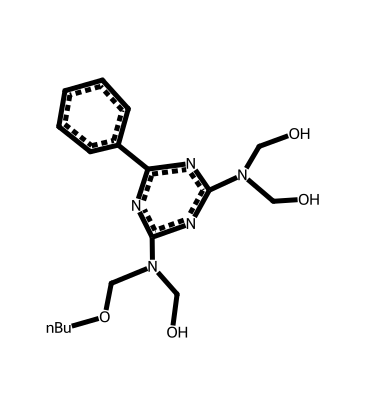 CCCCOCN(CO)c1nc(-c2ccccc2)nc(N(CO)CO)n1